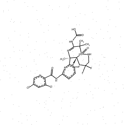 CC1(C)C(NC(=O)O)=N[C@](C)(c2nc(NC(=O)c3ncc(Cl)cc3Cl)ccc2F)[C@H]2CC(F)(F)CN[SH]21=O